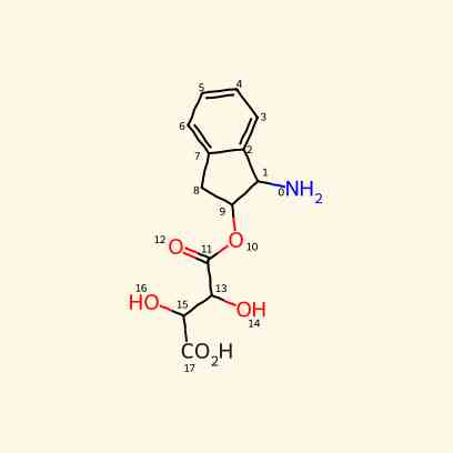 NC1c2ccccc2CC1OC(=O)C(O)C(O)C(=O)O